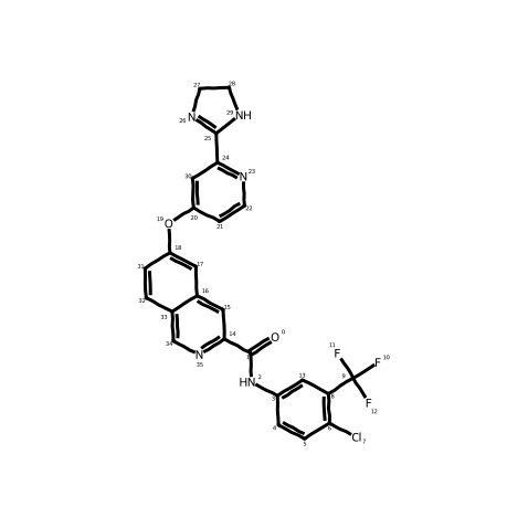 O=C(Nc1ccc(Cl)c(C(F)(F)F)c1)c1cc2cc(Oc3ccnc(C4=NCCN4)c3)ccc2cn1